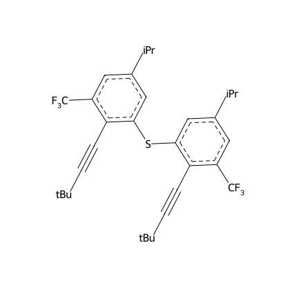 CC(C)c1cc(Sc2cc(C(C)C)cc(C(F)(F)F)c2C#CC(C)(C)C)c(C#CC(C)(C)C)c(C(F)(F)F)c1